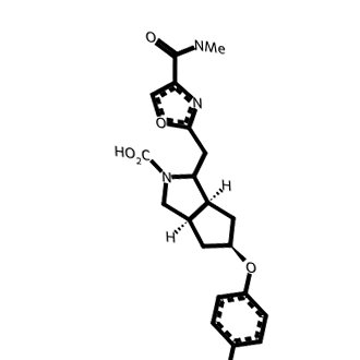 CNC(=O)c1coc(CC2[C@H]3C[C@@H](Oc4ccc(Cl)cc4)C[C@H]3CN2C(=O)O)n1